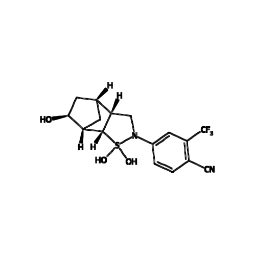 N#Cc1ccc(N2C[C@H]3[C@@H]4C[C@H]([C@H]3S2(O)O)[C@@H](O)C4)cc1C(F)(F)F